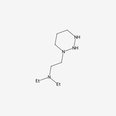 CCN(CC)CCN1CCCNN1